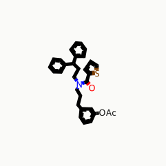 CC(=O)Oc1cccc(CCCN(CCC(c2ccccc2)c2ccccc2)C(=O)c2cccs2)c1